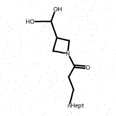 CCCCCCCCCC(=O)N1CC(C(O)O)C1